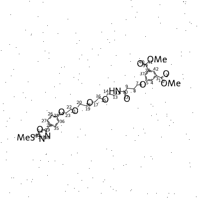 COC(=O)c1cc(OCCCC(=O)NCCOCCOCCOCCOc2ccc(-c3nnc(SC)o3)cc2)cc(C(=O)OC)c1